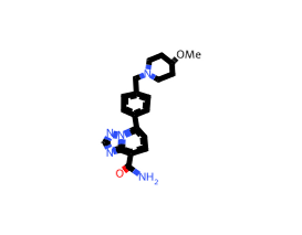 COC1CCN(Cc2ccc(-c3ccc(C(N)=O)c4n[c]nn34)cc2)CC1